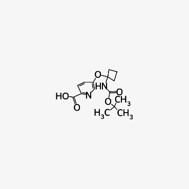 CC(C)(C)OC(=O)NC1(Oc2ccc(C(=O)O)nc2)CCC1